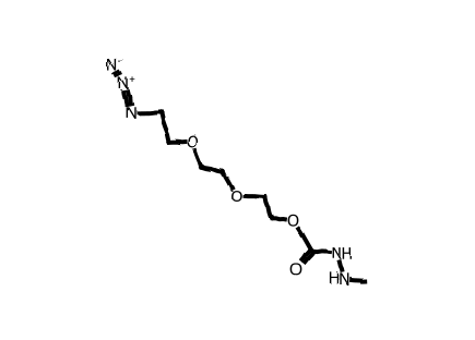 CNNC(=O)OCCOCCOCCN=[N+]=[N-]